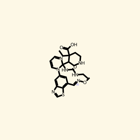 CCNC(=O)NC1(C2CNCCC2(CC)C(=O)O)N=CC=CN1c1cc(/C=N/OC)c2scnc2c1